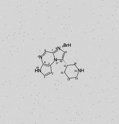 Br.c1cc2c(ncc3ncc([C@H]4CCCNC4)n32)[nH]1